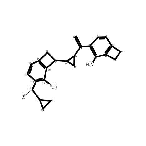 C=C(c1ccc2c(c1N)CC2)C1CC1C1Cc2ccc([C@@H](C)C3CC3)c(N)c21